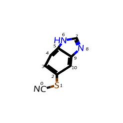 N#CSc1ccc2[nH]cnc2c1